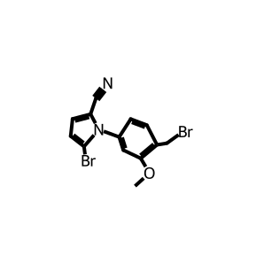 COc1cc(-n2c(Br)ccc2C#N)ccc1CBr